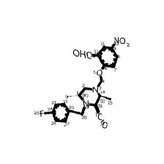 C[C@@H]1CN(COc2ccc([N+](=O)[O-])cc2C=O)[C@@H](C)C(=C=O)N1Cc1ccc(F)cc1